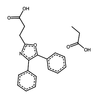 CCC(=O)O.O=C(O)CCc1nc(-c2ccccc2)c(-c2ccccc2)o1